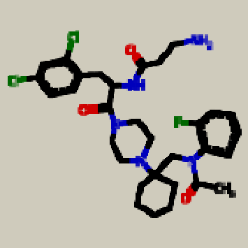 CC(=O)N(CC1(N2CCN(C(=O)C(Cc3ccc(Cl)cc3Cl)NC(=O)CCN)CC2)CCCCC1)c1ccccc1F